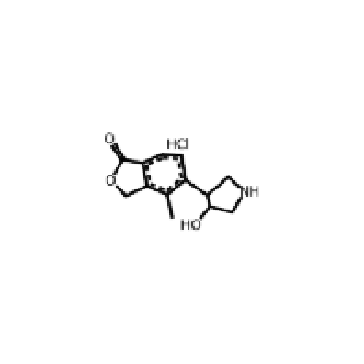 Cc1c(C2CNCC2O)ccc2c1COC2=O.Cl